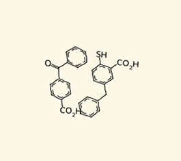 O=C(O)c1cc(Cc2ccccc2)ccc1S.O=C(O)c1ccc(C(=O)c2ccccc2)cc1